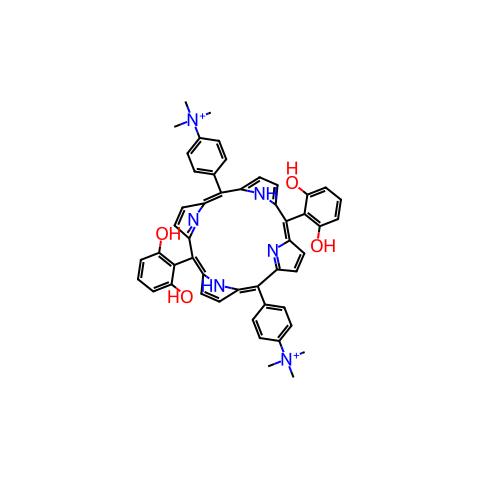 C[N+](C)(C)c1ccc(-c2c3nc(c(-c4c(O)cccc4O)c4ccc([nH]4)c(-c4ccc([N+](C)(C)C)cc4)c4nc(c(-c5c(O)cccc5O)c5ccc2[nH]5)C=C4)C=C3)cc1